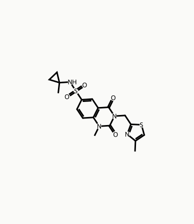 Cc1csc(Cn2c(=O)c3cc(S(=O)(=O)NC4(C)CC4)ccc3n(C)c2=O)n1